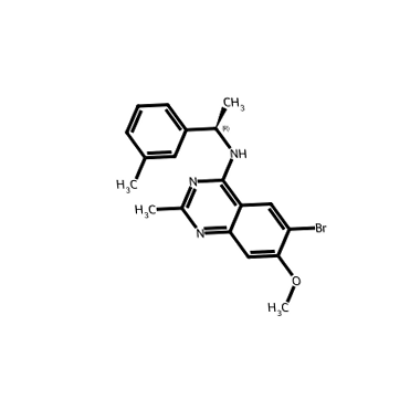 COc1cc2nc(C)nc(N[C@H](C)c3cccc(C)c3)c2cc1Br